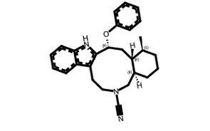 C[C@H]1CCC[C@H]2CN(C#N)CCc3c([nH]c4ccccc34)[C@H](Oc3ccccc3)C[C@@H]21